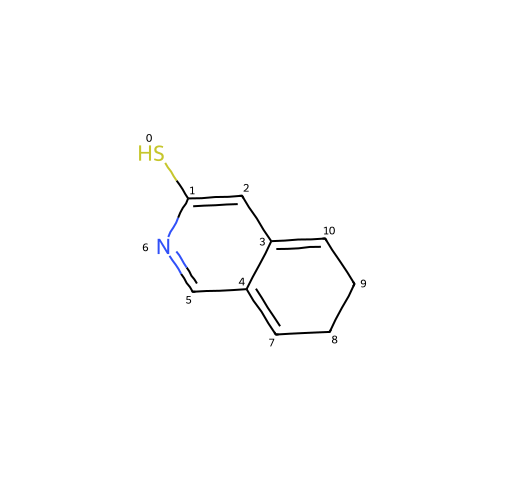 Sc1cc2c(cn1)=CCCC=2